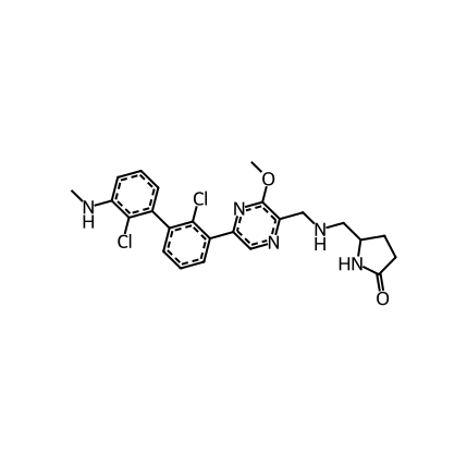 CNc1cccc(-c2cccc(-c3cnc(CNCC4CCC(=O)N4)c(OC)n3)c2Cl)c1Cl